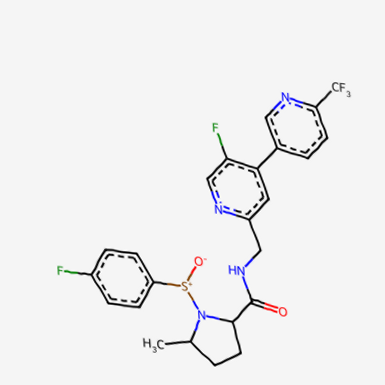 CC1CCC(C(=O)NCc2cc(-c3ccc(C(F)(F)F)nc3)c(F)cn2)N1[S+]([O-])c1ccc(F)cc1